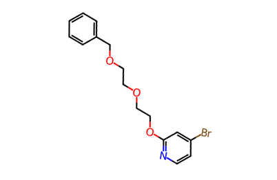 Brc1ccnc(OCCOCCOCc2ccccc2)c1